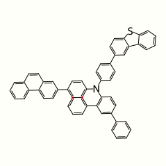 c1ccc(-c2ccc(N(c3ccc(-c4ccc5c(ccc6ccccc65)c4)cc3)c3ccc(-c4ccc5sc6ccccc6c5c4)cc3)c(-c3ccccc3)c2)cc1